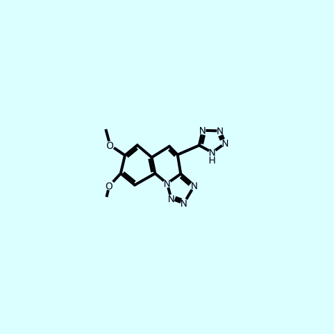 COc1cc2cc(-c3nnn[nH]3)c3nnnn3c2cc1OC